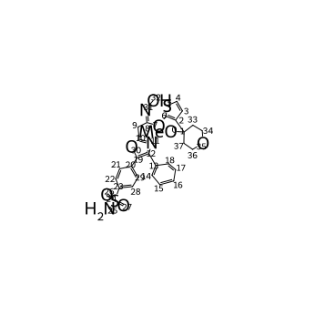 COC1(c2ccsc2OC(Cc2nc(-c3ccccc3)c(-c3ccc(S(N)(=O)=O)cc3)o2)=NO)CCOCC1